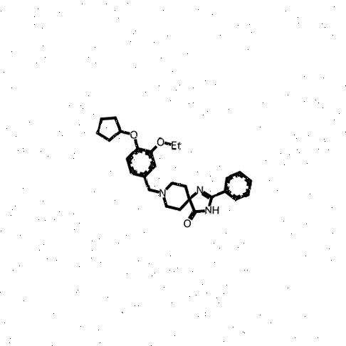 CCOc1cc(CN2CCC3(CC2)N=C(c2ccccc2)NC3=O)ccc1OC1CCCC1